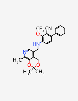 Cc1ncc(CNc2ccc(-c3ccccc3)c(C#N)c2OC(F)(F)F)c2c1OC(C)(C)OC2